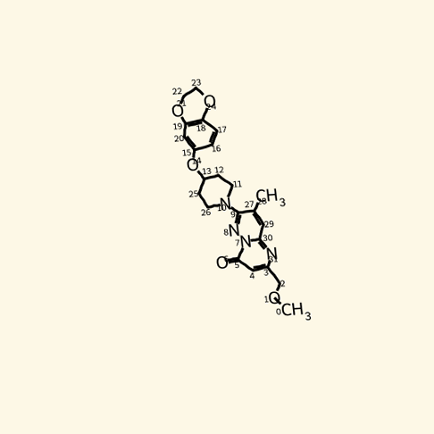 COCc1cc(=O)n2nc(N3CCC(Oc4ccc5c(c4)OCCO5)CC3)c(C)cc2n1